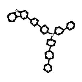 c1ccc(-c2ccc(-c3ccc(N(c4ccc(-c5ccccc5)cc4)c4ccc(-c5ccc(-c6ccc7oc8ccccc8c7c6)cc5)cc4)cc3)cc2)cc1